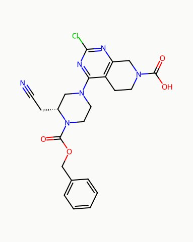 N#CC[C@@H]1CN(c2nc(Cl)nc3c2CCN(C(=O)O)C3)CCN1C(=O)OCc1ccccc1